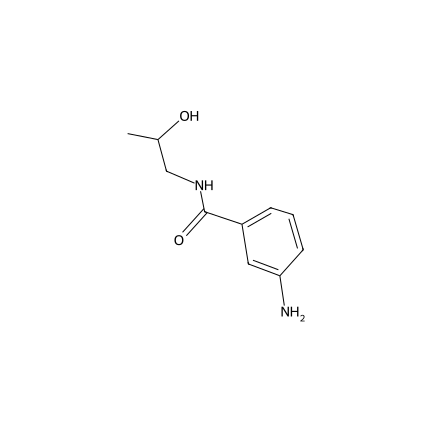 CC(O)CNC(=O)c1cccc(N)c1